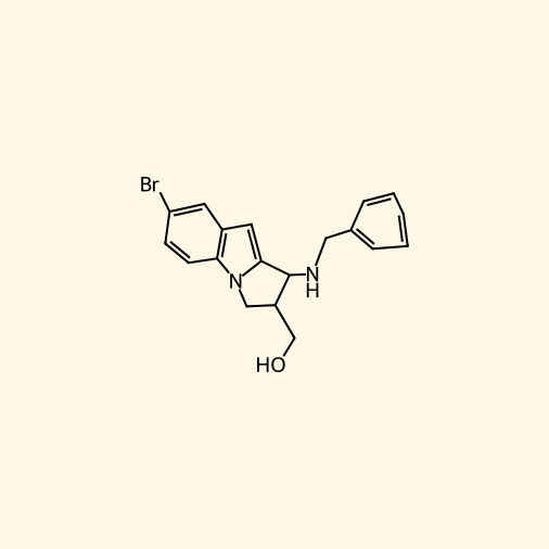 OCC1Cn2c(cc3cc(Br)ccc32)C1NCc1ccccc1